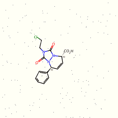 O=C(O)[C@@H]1C=C[C@@H](c2ccccc2)n2c(=O)n(CCCl)c(=O)n21